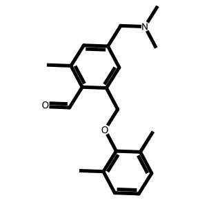 Cc1cc(CN(C)C)cc(COc2c(C)cccc2C)c1C=O